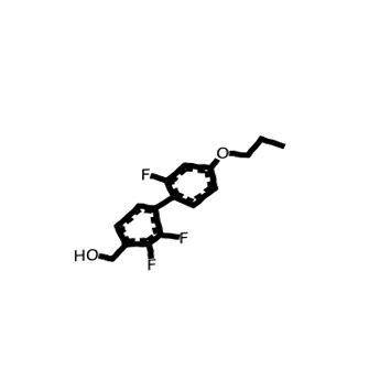 CCCOc1ccc(-c2ccc(CO)c(F)c2F)c(F)c1